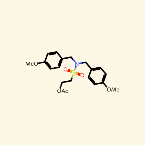 COc1ccc(CN(Cc2ccc(OC)cc2)S(=O)(=O)CCOC(C)=O)cc1